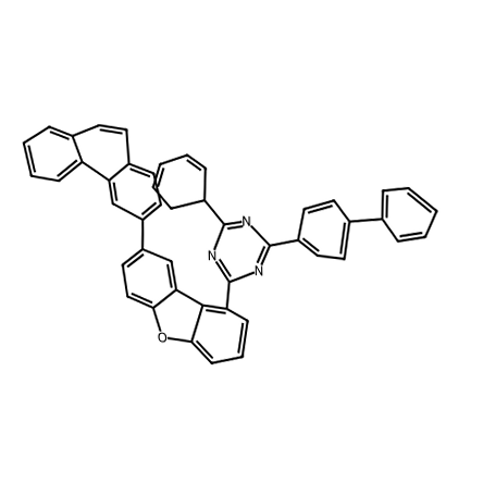 C1=CCC(c2nc(-c3ccc(-c4ccccc4)cc3)nc(-c3cccc4oc5ccc(-c6ccc7ccc8ccccc8c7c6)cc5c34)n2)C=C1